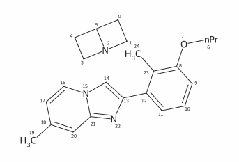 C1CN2CCC12.CCCOc1cccc(-c2cn3ccc(C)cc3n2)c1C